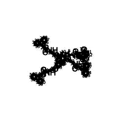 CC(=O)N(CCC[C@@H](C)[C@H]1CC[C@H]2C3[C@H](OCCCNC(=O)OCC4c5ccccc5-c5ccccc54)CC4C[C@H](OCCCNC(=O)OCC5c6ccccc6-c6ccccc65)CC[C@]4(C)[C@H]3C[C@H](OCCCNC(=O)OCC3c4ccccc4-c4ccccc43)[C@]12C)CC(=O)ON1C(=O)CCC1=O